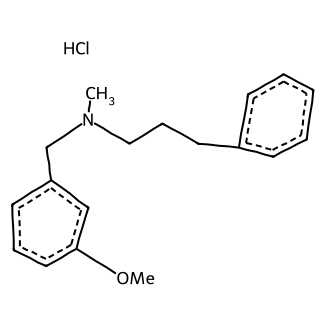 COc1cccc(CN(C)CCCc2ccccc2)c1.Cl